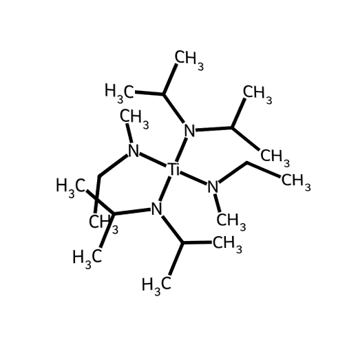 CC[N](C)[Ti]([N](C)CC)([N](C(C)C)C(C)C)[N](C(C)C)C(C)C